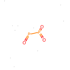 O=PP(=O)=O